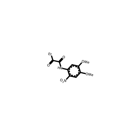 CCC(=O)C(=O)Nc1cc(OC)c(OC)cc1[N+](=O)[O-]